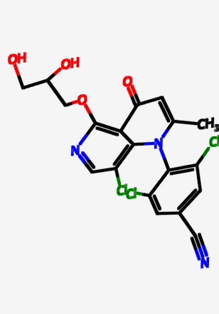 Cc1cc(=O)c2c(OCC(O)CO)ncc(Cl)c2n1-c1c(Cl)cc(C#N)cc1Cl